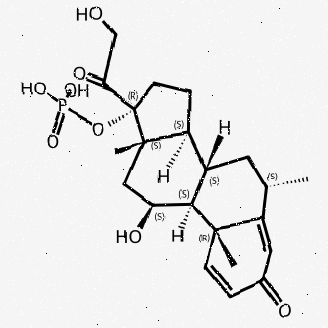 C[C@H]1C[C@@H]2[C@H]([C@@H](O)C[C@@]3(C)[C@H]2CC[C@]3(OP(=O)(O)O)C(=O)CO)[C@@]2(C)C=CC(=O)C=C12